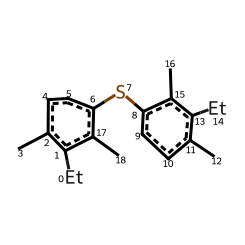 CCc1c(C)ccc(Sc2ccc(C)c(CC)c2C)c1C